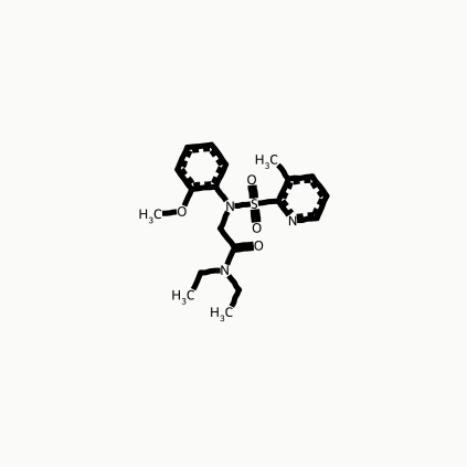 CCN(CC)C(=O)CN(c1ccccc1OC)S(=O)(=O)c1ncccc1C